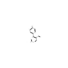 Cc1ccc(-c2nc(C)ncc2C=O)cc1